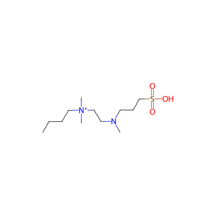 CCCC[N+](C)(C)CCN(C)CCCS(=O)(=O)O